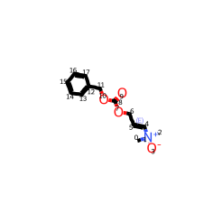 C[N+](C)([O-])/C=C/COC(=O)OCc1ccccc1